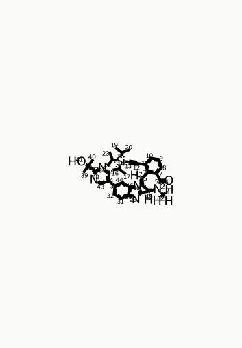 [2H]C([2H])([2H])N1C(=O)c2cccc(C#C[Si](C(C)C)(C(C)C)C(C)C)c2[C@H]2C[C@@H]1c1nc3ccc(-c4cnc(C(C)(C)O)nc4)cc3n12